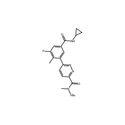 CCCCN(C)C(=O)c1ccc(-c2cc(C(=O)NC3CC3)cc(F)c2C)nn1